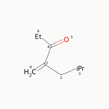 C=C(CC(C)C)C(=O)CC